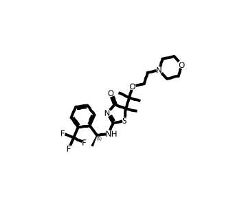 C[C@H](NC1=NC(=O)C(C)(C(C)(C)OCCN2CCOCC2)S1)c1ccccc1C(F)(F)F